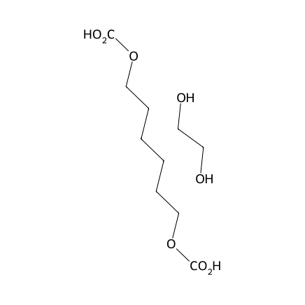 O=C(O)OCCCCCCOC(=O)O.OCCO